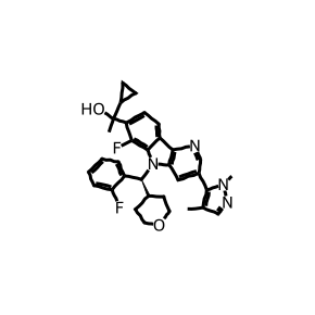 Cc1cnn(C)c1-c1cnc2c3ccc(C(C)(O)C4CC4)c(F)c3n([C@H](c3ccccc3F)C3CCOCC3)c2c1